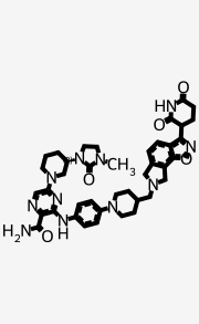 CN1CCN([C@@H]2CCCN(c3cnc(C(N)=O)c(Nc4ccc(N5CCC(CN6Cc7ccc8c(C9CCC(=O)NC9=O)noc8c7C6)CC5)cc4)n3)C2)C1=O